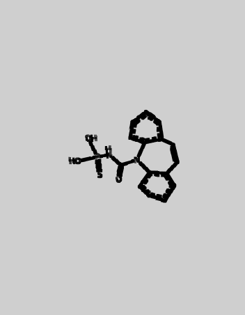 O=C(NP(O)(O)=S)N1c2ccccc2C=Cc2ccccc21